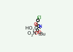 Cc1ncc2c(c1[C@@]1(C(=O)O)C[C@@H](O[N+](=O)[O-])[C@H](OC(C)(C)C)C1)CO[C@H]2c1ccc(Cl)cc1